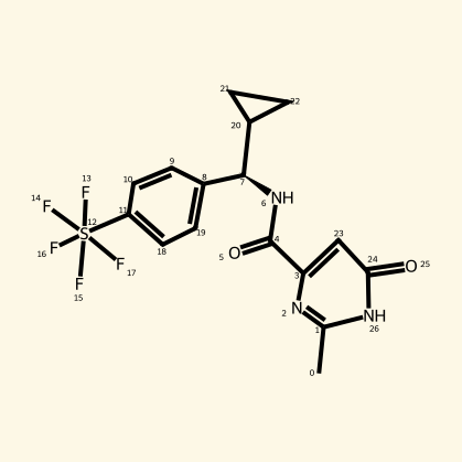 Cc1nc(C(=O)N[C@@H](c2ccc(S(F)(F)(F)(F)F)cc2)C2CC2)cc(=O)[nH]1